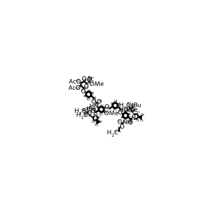 C=CCOC(=O)Nc1cc(OCc2cccc(COc3cc(NC(=O)OCc4ccc(O[C@@H]5O[C@H](C(=O)OC)[C@@H](OC(C)=O)[C@H](OC(C)=O)[C@H]5OC(C)=O)cc4)c(C(=O)N4CC5(CC5)C[C@H]4CO[Si](C)(C)C(C)(C)C)cc3OC)c2)c(OC)cc1C(=O)N1CC2(CC2)C[C@H]1CO[Si](C)(C)C(C)(C)C